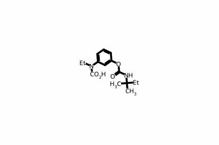 CCN(C(=O)O)c1cccc(OC(=O)NC(C)(C)CC)c1